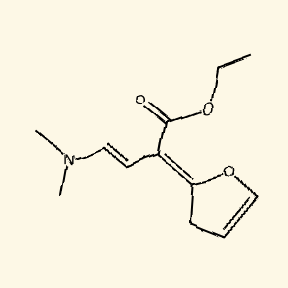 CCOC(=O)C(/C=C/N(C)C)=C1/CC=CO1